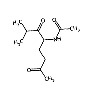 CC(=O)CCC(NC(C)=O)C(=O)C(C)C